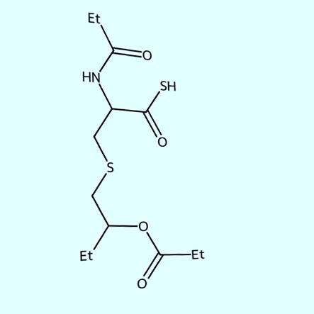 CCC(=O)NC(CSCC(CC)OC(=O)CC)C(=O)S